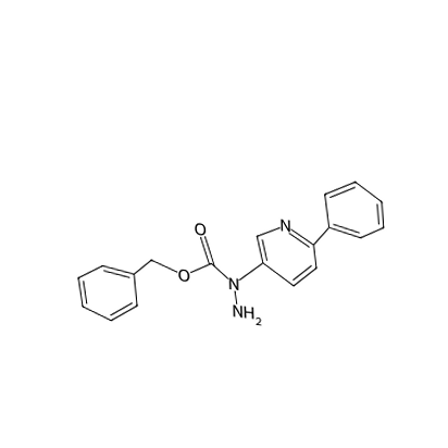 NN(C(=O)OCc1ccccc1)c1ccc(-c2ccccc2)nc1